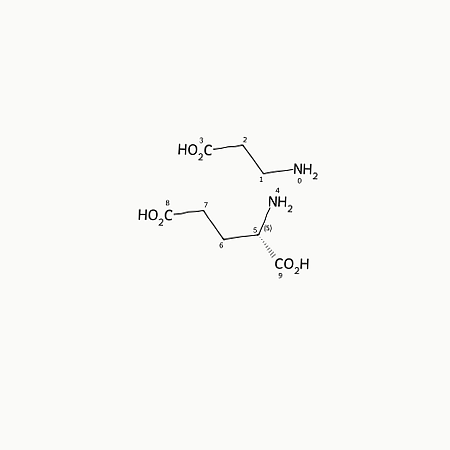 NCCC(=O)O.N[C@@H](CCC(=O)O)C(=O)O